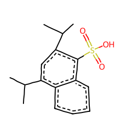 CC(C)c1cc(C(C)C)c2ccccc2c1S(=O)(=O)O